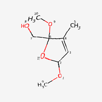 COC1C=C(C)C(CO)(OC)O1